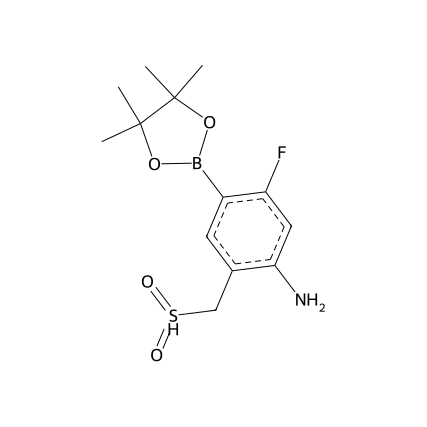 CC1(C)OB(c2cc(C[SH](=O)=O)c(N)cc2F)OC1(C)C